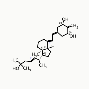 C=C1[C@H](O)CC(=C/C=C2\CCC[C@]3(C)[C@@H](C(C)/C=C/CC(C)(C)O)CC[C@@H]23)C[C@H]1O